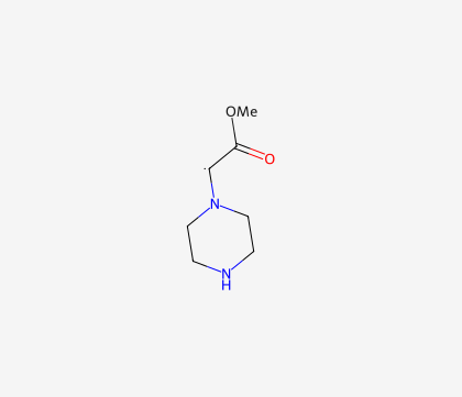 COC(=O)[CH]N1CCNCC1